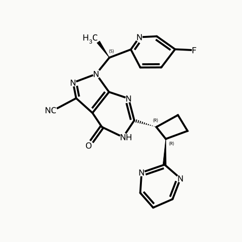 C[C@@H](c1ccc(F)cn1)n1nc(C#N)c2c(=O)[nH]c([C@@H]3CC[C@H]3c3ncccn3)nc21